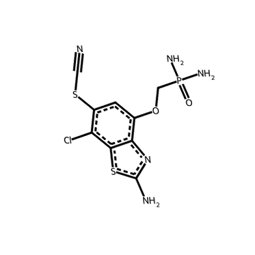 N#CSc1cc(OCP(N)(N)=O)c2nc(N)sc2c1Cl